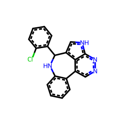 Clc1ccccc1C1Nc2ccccc2-c2cnnc3[nH]cc1c23